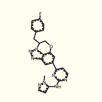 Cn1nccc1Nc1nccc(-c2cc3c4c(c2)nnn4C(Cc2ccc(F)cc2)CO3)n1